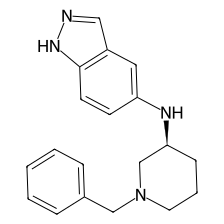 c1ccc(CN2CCC[C@H](Nc3ccc4[nH]ncc4c3)C2)cc1